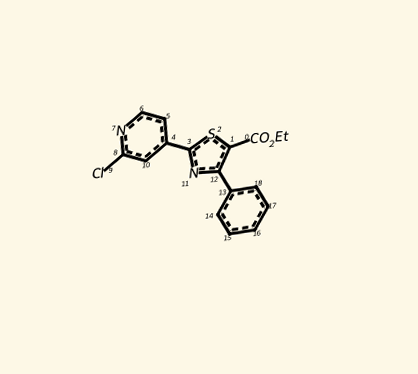 CCOC(=O)c1sc(-c2ccnc(Cl)c2)nc1-c1ccccc1